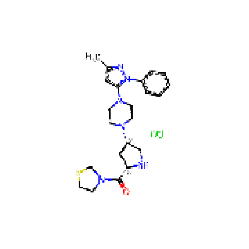 Cc1cc(N2CCN([C@@H]3CN[C@H](C(=O)N4CCSC4)C3)CC2)n(-c2ccccc2)n1.Cl